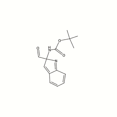 CC(C)(C)OC(=O)NC1(C=O)C=c2ccccc2=N1